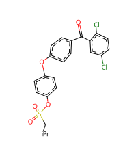 CC(C)CS(=O)(=O)Oc1ccc(Oc2ccc(C(=O)c3cc(Cl)ccc3Cl)cc2)cc1